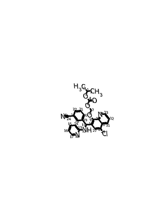 CC(C)OC(=O)OCOc1c(C(Nc2ccccn2)c2cccc(C#N)c2)cc(Cl)c2cccnc12